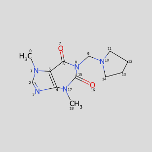 Cn1cnc2c1c(=O)n(CN1CCCC1)c(=O)n2C